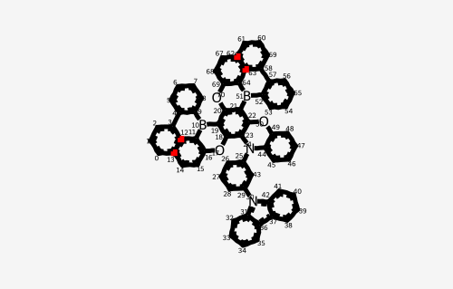 c1ccc(-c2ccccc2B2c3ccccc3Oc3c2c2c(c4c3N(c3cccc(-n5c6ccccc6c6ccccc65)c3)c3ccccc3O4)B(c3ccccc3-c3ccccc3)c3ccccc3O2)cc1